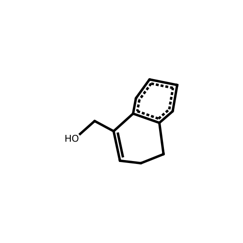 OCC1=CCCc2ccccc21